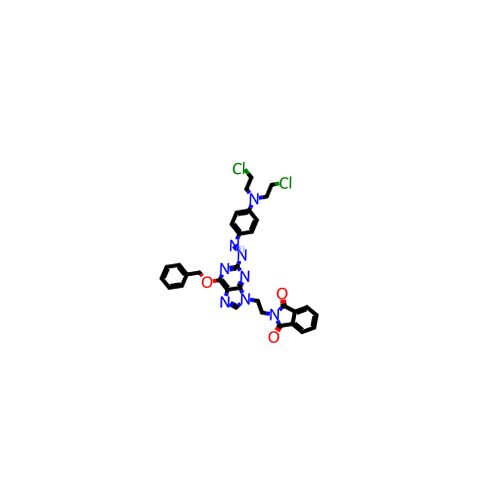 O=C1c2ccccc2C(=O)N1CCn1cnc2c(OCc3ccccc3)nc(/N=N/c3ccc(N(CCCl)CCCl)cc3)nc21